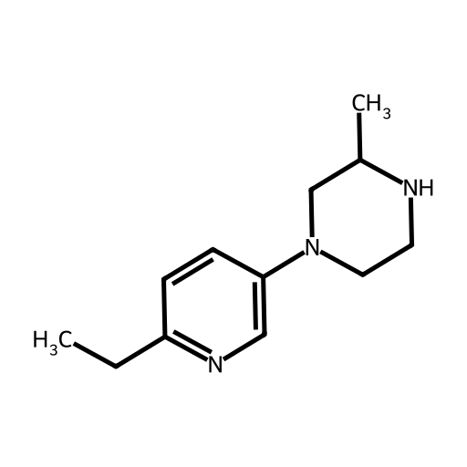 CCc1ccc(N2CCNC(C)C2)cn1